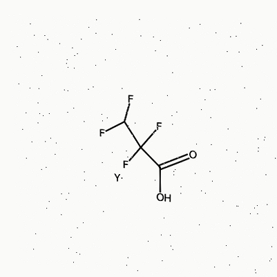 O=C(O)C(F)(F)C(F)F.[Y]